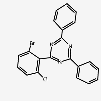 Clc1cccc(Br)c1-c1nc(-c2ccccc2)nc(-c2ccccc2)n1